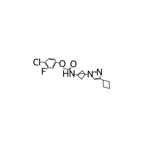 O=C(COc1ccc(Cl)c(F)c1)NC12CC(n3cnc(C4CCC4)c3)(C1)C2